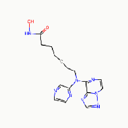 O=C(CCCCCCN(c1cnccn1)c1nccn2ncnc12)NO